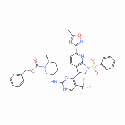 Cc1nc(-c2ccc3c(-c4nc(N[C@H]5CC[C@H](C)N(C(=O)OCc6ccccc6)C5)ncc4C(F)(F)F)cn(S(=O)(=O)c4ccccc4)c3n2)no1